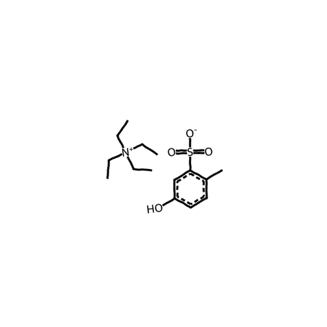 CC[N+](CC)(CC)CC.Cc1ccc(O)cc1S(=O)(=O)[O-]